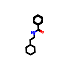 O=C(NCCC1CCCCC1)c1ccccc1